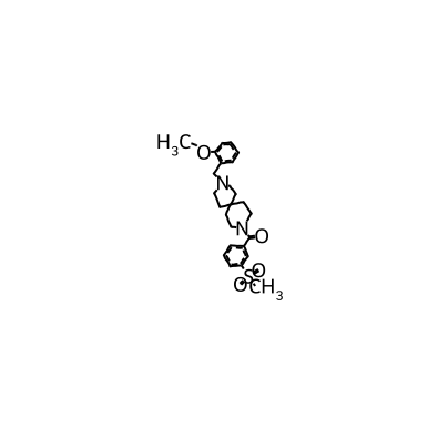 CCOc1ccccc1CN1CCC2(CC1)CCN(C(=O)c1cccc(S(C)(=O)=O)c1)CC2